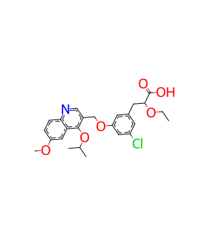 CCOC(Cc1cc(Cl)cc(OCc2cnc3ccc(OC)cc3c2OC(C)C)c1)C(=O)O